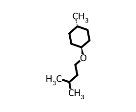 CC(C)CCO[C@H]1CC[C@H](C)CC1